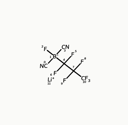 N#C[B-](F)(C#N)C(F)(F)C(F)(F)C(F)(F)F.[Li+]